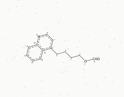 O=COCCCCc1ccnc2ccccc12